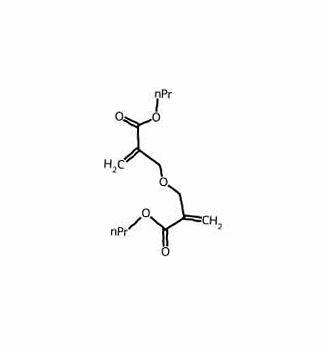 C=C(COCC(=C)C(=O)OCCC)C(=O)OCCC